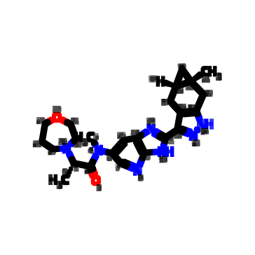 C[C@@H](C(=O)N(C)c1cnc2[nH]c(-c3n[nH]c4c3C[C@@H]3C[C@]3(C)C4)nc2c1)N1CCCOCC1